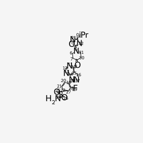 CC(C)c1noc(N2CCC(Oc3ncnc4c3cnn4-c3ccc(S(N)(=O)=O)cc3F)CC2)n1